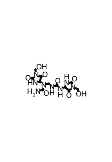 NC(=O)N(CNC(=O)NC1NC(=O)N(CO)C1=O)C1NC(=O)N(CO)C1=O